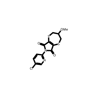 COC1CSC2=C(SC1)C(=O)N(c1ccc(Cl)cn1)C2=O